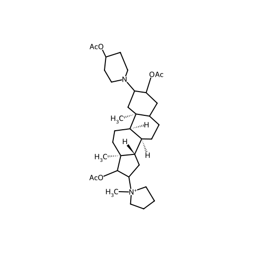 CC(=O)OC1CCN(C2C[C@@]3(C)C(CC[C@@H]4[C@H]3CC[C@]3(C)C(OC(C)=O)C([N+]5(C)CCCC5)C[C@@H]43)CC2OC(C)=O)CC1